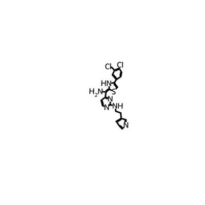 N/C(=C1\NC(c2ccc(Cl)c(Cl)c2)=CS1)c1ccnc(NCCc2cccnc2)n1